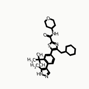 Cc1[nH]ncc1-c1ccc(-c2sc(C(=O)NC3CCOCC3)nc2CC2CCCCC2)cc1C(C)(C)C